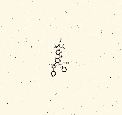 C=CCn1c(=O)c2ccc(Nc3ncc(-c4nc(-c5ccncc5)no4)c(N[C@H](CO)c4ccccc4)n3)nc2n1C(C)C